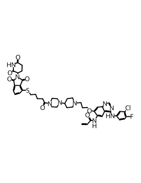 C=CC(=O)Nc1cc2c(Nc3ccc(F)c(Cl)c3)ncnc2cc1OCCCN1CCC(N2CCN(C(=O)CCCCSc3cccc4c3C(=O)N(C3CCC(=O)NC3=O)C4=O)CC2)CC1